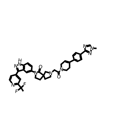 Cn1cnc(-c2ccc(C3=CCN(C(=O)CN4CCC5(CCN(c6ccc7[nH]nc(-c8ccnc(C(C)(F)F)c8)c7c6)C5=O)C4)CC3)cc2)n1